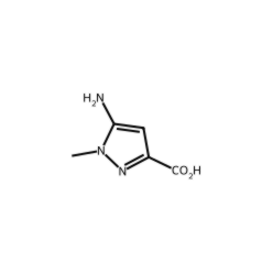 Cn1nc(C(=O)O)cc1N